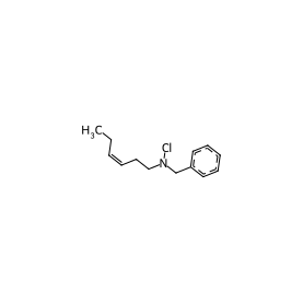 CC/C=C\CCN(Cl)Cc1ccccc1